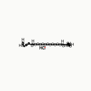 Cl.Cl.O=C(CCCC[C@@H]1SC[C@@H]2NC(=O)N[C@@H]21)NCCOCCOCCOCCOCCOCCOCCOCCOCCOCCOCCOCCNC(=O)CCc1cccc(-c2ccc([C@@H]3C[C@H]3NC3CCNCC3)cc2)c1